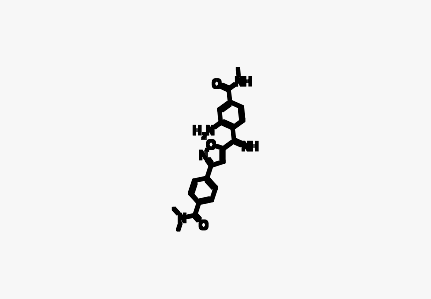 CNC(=O)c1ccc(C(=N)c2cc(-c3ccc(C(=O)N(C)C)cc3)no2)c(N)c1